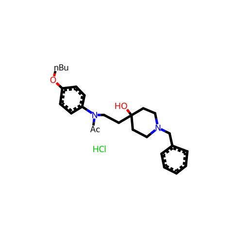 CCCCOc1ccc(N(CCC2(O)CCN(Cc3ccccc3)CC2)C(C)=O)cc1.Cl